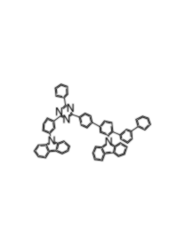 c1ccc(-c2cccc(-c3ccc(-c4ccc(-c5nc(-c6ccccc6)nc(-c6cccc(-n7c8ccccc8c8ccccc87)c6)n5)cc4)cc3-n3c4ccccc4c4ccccc43)c2)cc1